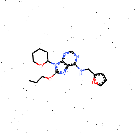 CCCOc1nc2c(NCc3ccco3)ncnc2n1C1CCCCO1